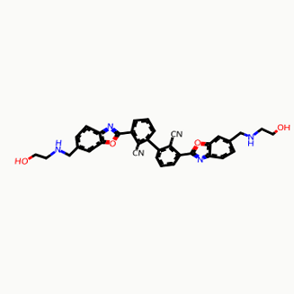 N#Cc1c(-c2nc3ccc(CNCCO)cc3o2)cccc1-c1cccc(-c2nc3ccc(CNCCO)cc3o2)c1C#N